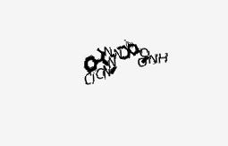 CNC(=O)O[C@H]1C[C@@H](C)C2(CCN(c3nc(C)c(-c4cccc(Cl)c4Cl)c4nccn34)CC2)C1